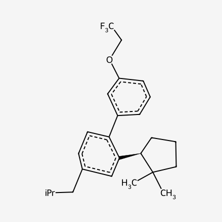 CC(C)Cc1ccc(-c2cccc(OCC(F)(F)F)c2)c([C@H]2CCCC2(C)C)c1